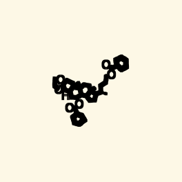 C[C@H](CCCOC(=O)c1ccccc1)C1CCC2C3C(CCC21C)C1(C)CCC2(C[C@@H]1C[C@H]3OC(=O)c1ccccc1)OCCO2